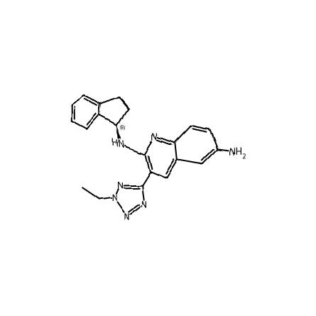 CCn1nnc(-c2cc3cc(N)ccc3nc2N[C@@H]2CCc3ccccc32)n1